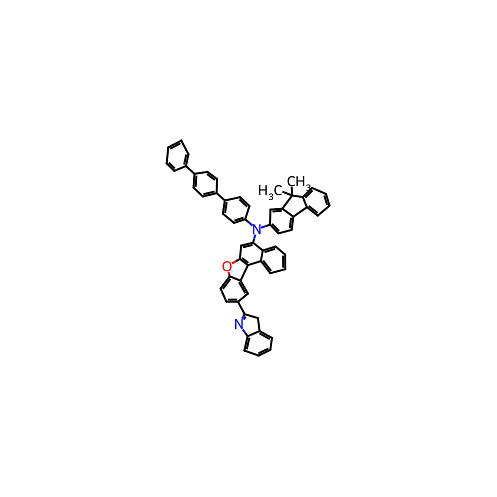 CC1(C)c2ccccc2-c2ccc(N(c3ccc(-c4ccc(-c5ccccc5)cc4)cc3)c3cc4oc5ccc(C6=Nc7ccccc7C6)cc5c4c4ccccc34)cc21